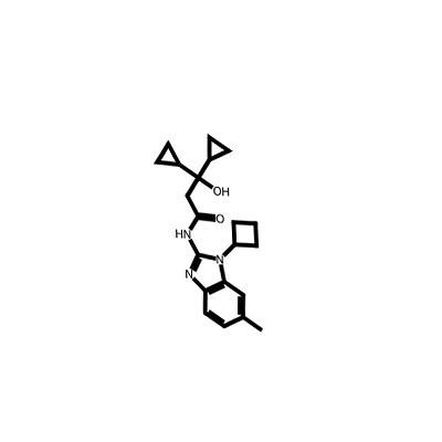 Cc1ccc2nc(NC(=O)CC(O)(C3CC3)C3CC3)n(C3CCC3)c2c1